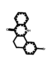 O=c1c2c([nH]c3ccccc13)-c1cc(Br)ccc1CC2